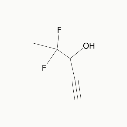 C#CC(O)C(C)(F)F